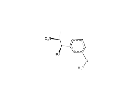 C[C@@H]([C@H](O)c1cccc(OP)c1)[N+](=O)[O-]